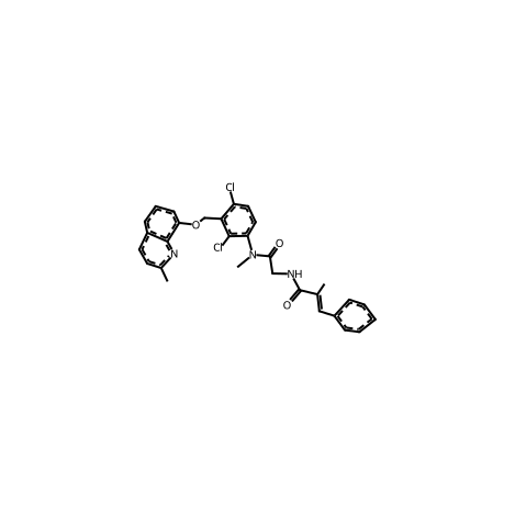 C/C(=C\c1ccccc1)C(=O)NCC(=O)N(C)c1ccc(Cl)c(COc2cccc3ccc(C)nc23)c1Cl